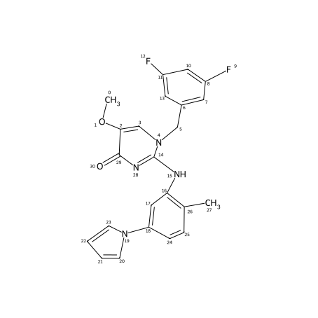 COc1cn(Cc2cc(F)cc(F)c2)c(Nc2cc(-n3cccc3)ccc2C)nc1=O